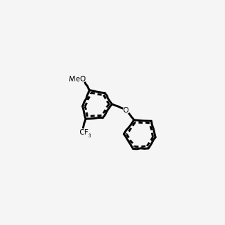 COc1cc(Oc2ccccc2)cc(C(F)(F)F)c1